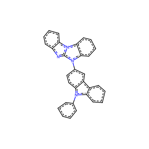 c1ccc(-n2c3ccccc3c3cc(-n4c5ccccc5n5c6ccccc6nc45)ccc32)cc1